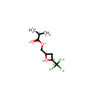 CC(C)C(=O)OCC1CC(C(F)(F)F)O1